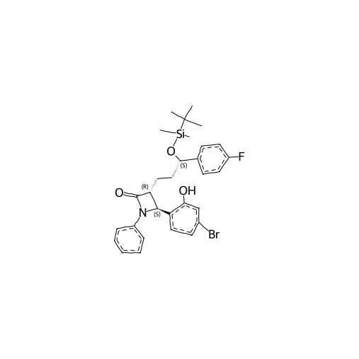 CC(C)(C)[Si](C)(C)O[C@@H](CC[C@H]1C(=O)N(c2ccccc2)[C@@H]1c1ccc(Br)cc1O)c1ccc(F)cc1